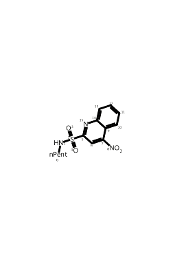 CCCCCNS(=O)(=O)c1cc([N+](=O)[O-])c2ccccc2n1